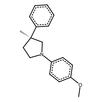 COc1ccc(N2CC[C@@](C)(c3ccccc3)C2)cc1